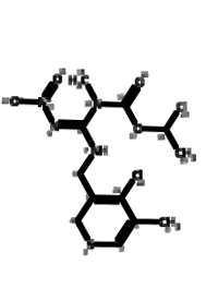 CC1=CSCC(CNC(=N[N+](=O)[O-])N(C)C(=O)OC(C)Cl)=C1Cl